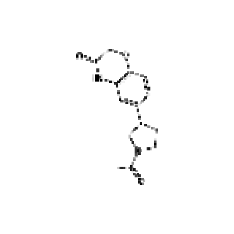 CC(=O)N1CCC(c2ccc3c(c2)NC(=O)CO3)C1